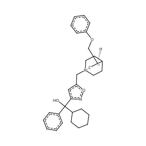 OC(c1ccccc1)(c1cc(C[N+]23CCC(CC2)[C@H](COc2ccccc2)C3)on1)C1CCCCC1